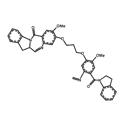 C=Nc1cc(OCCCOc2cc3c(cc2OC)C(=O)N2c4ccccc4CC2C=N3)c(OC)cc1C(=O)N1CCc2ccccc21